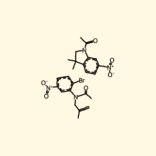 C=C(C)CN(C(C)=O)c1cc([N+](=O)[O-])ccc1Br.CC(=O)N1CC(C)(C)c2ccc([N+](=O)[O-])cc21